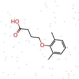 Cc1c[c]cc(C)c1OCCCC(=O)O